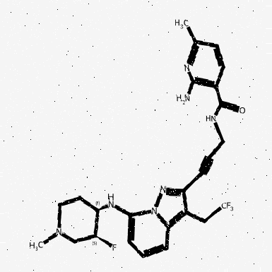 Cc1ccc(C(=O)NCC#Cc2nn3c(N[C@@H]4CCN(C)C[C@@H]4F)cccc3c2CC(F)(F)F)c(N)n1